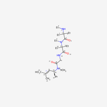 CCNC(CC)(CC)C(=O)N(CC)C(CC)(CC)C(=O)NCC(=O)N(C)[C@H](/C=C(\C)C(=O)O)C(C)C